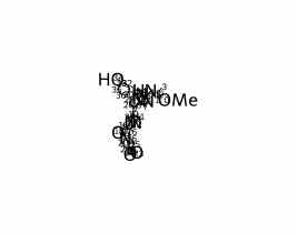 COC[C@H](C)Nc1ncc2c(-c3cnn(C(C)(C)C(=O)N4CCS(=O)(=O)CC4)c3)cc([C@H]3CC[C@H](O)CC3)n2n1